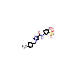 CS(=O)(=O)c1cc(NC(=O)c2cn(Cc3ccc(C(F)(F)F)cc3)cn2)ccc1O